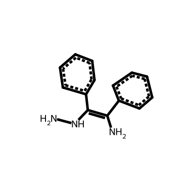 NN/C(=C(\N)c1ccccc1)c1ccccc1